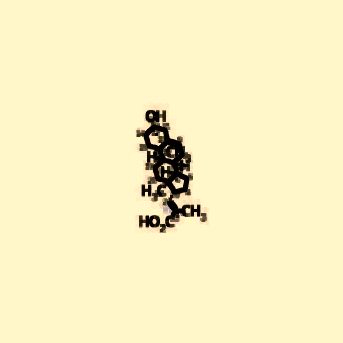 C/C(=C\[C@H]1CC[C@H]2[C@@H]3CC=C4C[C@@H](O)CC[C@]4(C)[C@H]3CC[C@]12C)C(=O)O